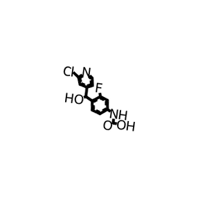 O=C(O)Nc1ccc(C(O)c2ccnc(Cl)c2)c(F)c1